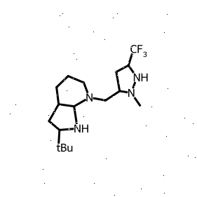 CN1NC(C(F)(F)F)CC1CN1CCCC2CC(C(C)(C)C)NC21